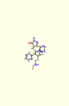 CCNCCc1c(C)[nH]c(/C=C2/C(=O)NN=C2c2cnccn2)c1-c1cnccn1